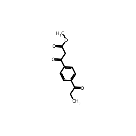 CCC(=O)c1ccc(C(=O)CC(=O)OC)cc1